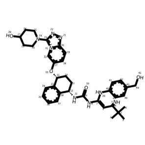 CC(C)(C)C(=N)/C=C(/NC(=O)N[C@H]1CC[C@@H](Oc2ccc3nnc(N4CCC(O)CC4)n3c2)c2ccccc21)Nc1ccc(CO)cc1